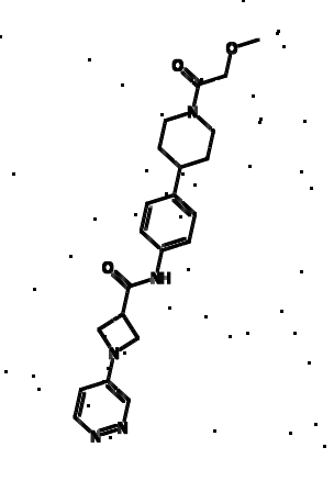 COCC(=O)N1CCC(c2ccc(NC(=O)C3CN(c4ccnnc4)C3)cc2)CC1